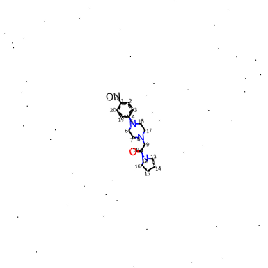 O=Nc1ccc(N2CCN(CC(=O)N3CCCC3)CC2)cc1